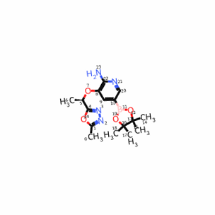 Cc1nnc([C@@H](C)Oc2cc(B3OC(C)(C)C(C)(C)O3)cnc2N)o1